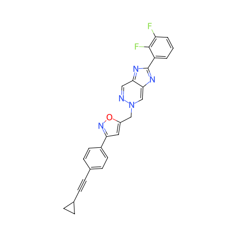 Fc1cccc(-c2nc3cnn(Cc4cc(-c5ccc(C#CC6CC6)cc5)no4)cc-3n2)c1F